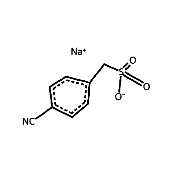 N#Cc1ccc(CS(=O)(=O)[O-])cc1.[Na+]